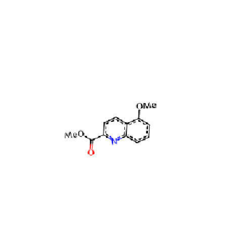 COC(=O)c1ccc2c(OC)cccc2n1